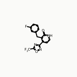 O=c1[nH]ccc(-c2noc(C(F)(F)F)n2)c1Cc1cccc(F)c1